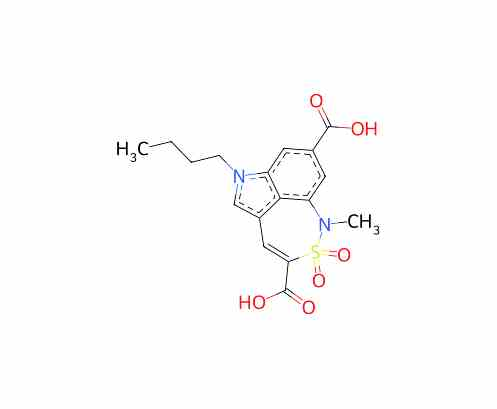 CCCCn1cc2c3c(cc(C(=O)O)cc31)N(C)S(=O)(=O)C(C(=O)O)=C2